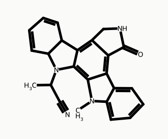 CC(C#N)N1c2c(c3c(c4c5ccccc5n(C)c24)C(=O)NC3)C2C=CC=CC21